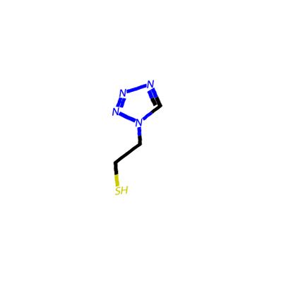 SCCn1cnnn1